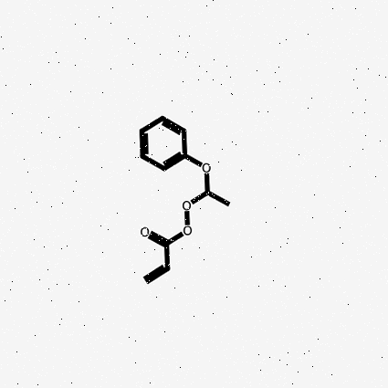 C=CC(=O)OOC(C)Oc1ccccc1